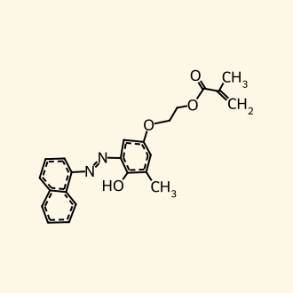 C=C(C)C(=O)OCCOc1cc(C)c(O)c(N=Nc2cccc3ccccc23)c1